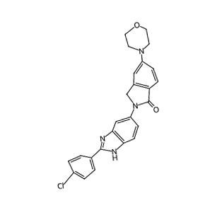 O=C1c2ccc(N3CCOCC3)cc2CN1c1ccc2[nH]c(-c3ccc(Cl)cc3)nc2c1